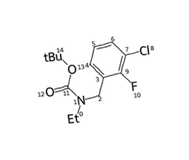 [CH2]CN(Cc1cccc(Cl)c1F)C(=O)OC(C)(C)C